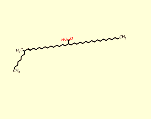 CCCCCCCCCCCCCCCCCCC(CCCCCCCCCCCCC=CC(C)CCCCCCC)C(=O)O